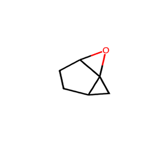 C1CC2OC23CC13